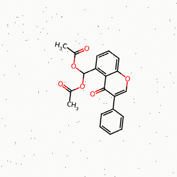 CC(=O)OC(OC(C)=O)c1cccc2occ(-c3ccccc3)c(=O)c12